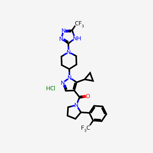 Cl.O=C(c1cnn(C2CCN(c3nnc(C(F)(F)F)[nH]3)CC2)c1C1CC1)N1CCCC1c1ccccc1C(F)(F)F